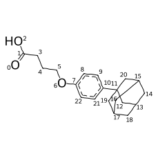 O=C(O)CCCOc1ccc(C23CC4CC(CC(C4)C2)C3)cc1